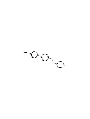 Cc1ccc(CCc2ccc(-c3ccc(C#N)c(F)c3)cc2)cc1